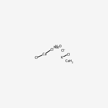 O.[CaH2].[Cl-].[Cl][Ca][Cl].[Cl][K].[Na+]